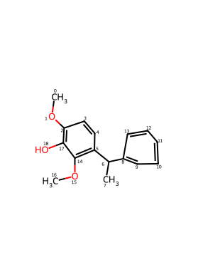 COc1ccc(C(C)c2ccccc2)c(OC)c1O